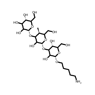 C[C@H]1C(CO)O[C@H](OC2C(O)[C@@H](OCCCCCN)OC(CO)[C@H]2O)C(O)C1O[C@H]1OC(CO)[C@@H](O)C(O)C1O